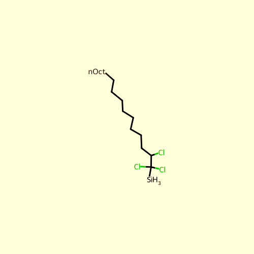 CCCCCCCCCCCCCCCCC(Cl)C([SiH3])(Cl)Cl